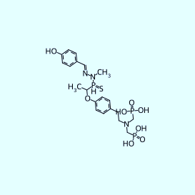 CC(Oc1ccc(CCN(CP(=O)(O)O)CP(=O)(O)O)cc1)[PH](=S)N(C)N=Cc1ccc(O)cc1